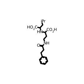 CC(C)CC(NC(CCNC(=O)CCc1ccccc1)C(=O)O)C(=O)O